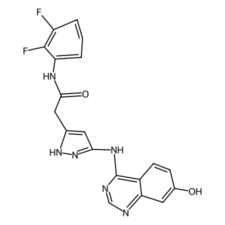 O=C(Cc1cc(Nc2ncnc3cc(O)ccc23)n[nH]1)Nc1cccc(F)c1F